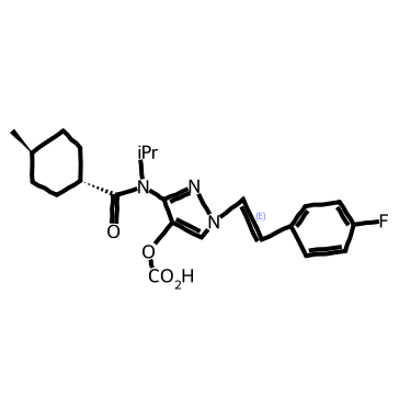 CC(C)N(c1nn(/C=C/c2ccc(F)cc2)cc1OC(=O)O)C(=O)[C@H]1CC[C@H](C)CC1